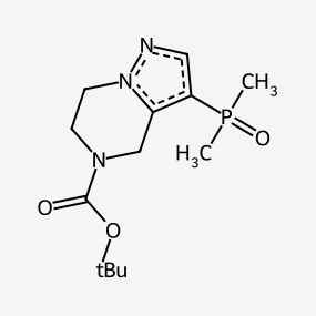 CC(C)(C)OC(=O)N1CCn2ncc(P(C)(C)=O)c2C1